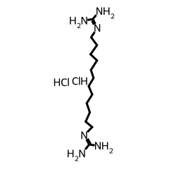 Cl.Cl.NC(N)=NCCCCCCCCCCCCN=C(N)N